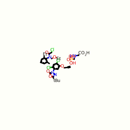 C#CCOc1cc(-n2nc(C(C)(C)C)oc2=O)c(Cl)cc1Cl.CCOCN(C(=O)CCl)c1c(C)cccc1CC.O=C(O)CNCP(=O)(O)O